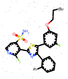 CC(C)c1ccccc1-c1nc(-c2c(S(N)(=O)=O)ccnc2F)sc1-c1cc(F)cc(OCCC(C)(C)C)c1